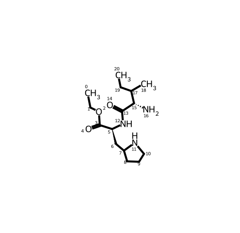 CCOC(=O)[C@H](CC1CCCN1)NC(=O)[C@@H](N)C(C)CC